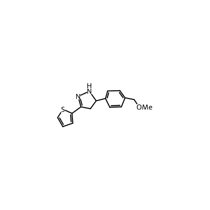 COCc1ccc(C2CC(c3cccs3)=NN2)cc1